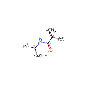 C=C(CC)C(=O)NC(C(C)C)S(=O)(=O)O